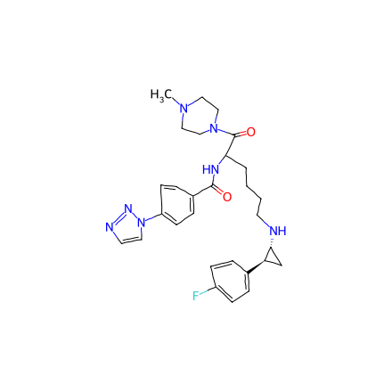 CN1CCN(C(=O)C(CCCCN[C@@H]2C[C@H]2c2ccc(F)cc2)NC(=O)c2ccc(-n3ccnn3)cc2)CC1